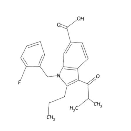 CCCc1c(C(=O)C(C)C)c2ccc(C(=O)O)cc2n1Cc1ccccc1F